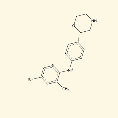 Cc1cc(Br)cnc1Nc1ccc([C@H]2CNCCO2)cc1